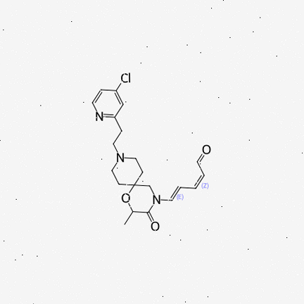 CC1OC2(CCN(CCc3cc(Cl)ccn3)CC2)CN(/C=C/C=C\C=O)C1=O